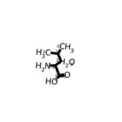 CC(C)CC(N)C(=O)O.O